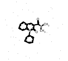 CN(C)C(=O)c1cc2ccccc2n(-c2ccccc2)c1=O